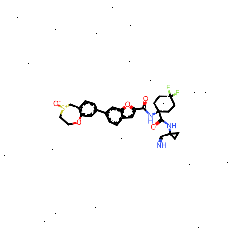 N=CC1(NC(=O)C2(NC(=O)c3cc4ccc(-c5ccc6c(c5)OCC[S+]([O-])C6)cc4o3)CCC(F)(F)CC2)CC1